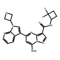 CNc1cc(-c2cn(C3COC3)c3ncccc23)nc2c(C(=O)NC3CCC3(F)F)cnn12